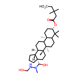 CN(NCO)C(O)[C@]12CCC[C@@H]1[C@H]1CCC3[C@@]4(C)CC[C@H](OC(=O)CC(C)(C)CC(=O)O)C(C)(C)C4CC[C@@]3(C)[C@]1(C)CC2